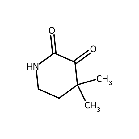 CC1(C)CCNC(=O)C1=O